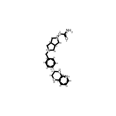 NC(=O)ON1CC2CN(Cc3ccc([C@H]4COc5cccnc5O4)cc3)CC2C1